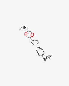 CCCCC1COC(c2ccc(-c3ccc(CCC)cc3)cc2)CO1